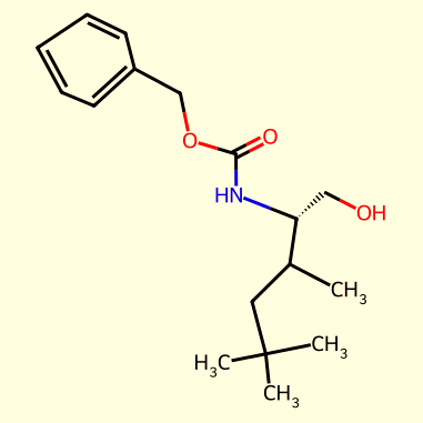 CC(CC(C)(C)C)[C@@H](CO)NC(=O)OCc1ccccc1